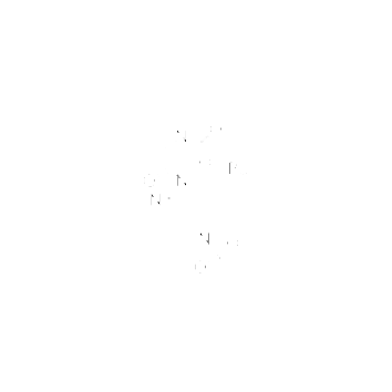 CC(C)(C)OC(=O)N1CCCC1c1nc(C2CN(S(C)(=O)=O)C2)no1